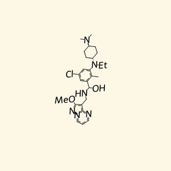 CCN(c1cc(Cl)cc(C(O)NCc2c(OC)nn3cccnc23)c1C)[C@H]1CC[C@H](N(C)C)CC1